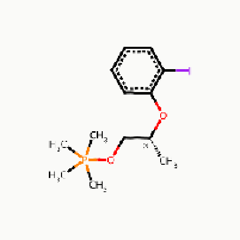 C[C@H](COP(C)(C)(C)C)Oc1ccccc1I